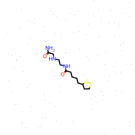 NC(=O)CNCCNC(=O)CCCCC1CCSS1